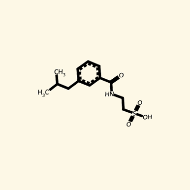 CC(C)Cc1cccc(C(=O)NCCS(=O)(=O)O)c1